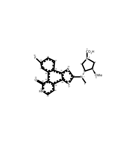 CO[C@@H]1CN(C(=O)O)C[C@H]1N(C)c1nc2c3ccc(F)cc3c3c(=O)[nH]ccc3c2s1